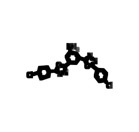 Nc1cc(-c2nnc(-c3ccc(Cl)cc3)o2)cc(-c2nnc(-c3ccc(Cl)cc3)o2)c1